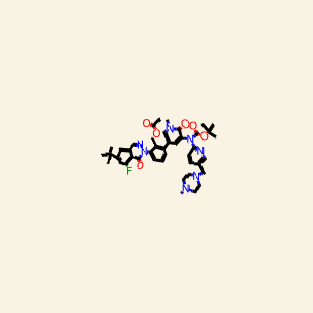 CC(=O)OCc1c(-c2cc(N(C(=O)OC(C)(C)C)c3ccc(CN4CCN(C)CC4)cn3)c(=O)n(C)c2)cccc1-n1ncc2cc(C(C)(C)C)cc(F)c2c1=O